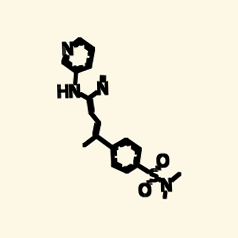 C=N/C(=C\C=C(/C)c1ccc(S(=O)(=O)N(C)C)cc1)Nc1cccnc1